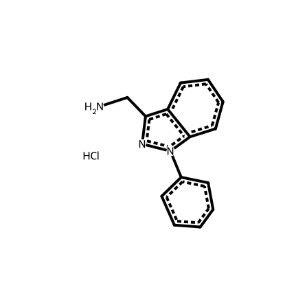 Cl.NCc1nn(-c2ccccc2)c2ccccc12